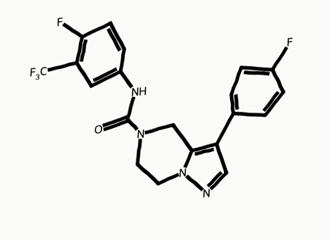 O=C(Nc1ccc(F)c(C(F)(F)F)c1)N1CCn2ncc(-c3ccc(F)cc3)c2C1